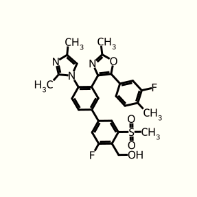 Cc1cn(-c2ccc(-c3cc(F)c(CO)c(S(C)(=O)=O)c3)cc2-c2nc(C)oc2-c2ccc(C)c(F)c2)c(C)n1